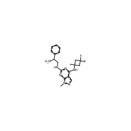 Cn1ncc2c(NC3(C)CC(F)(F)C3)nc(NCC(N)c3ccccc3)nc21